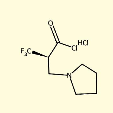 Cl.O=C(Cl)[C@@H](CN1CCCC1)C(F)(F)F